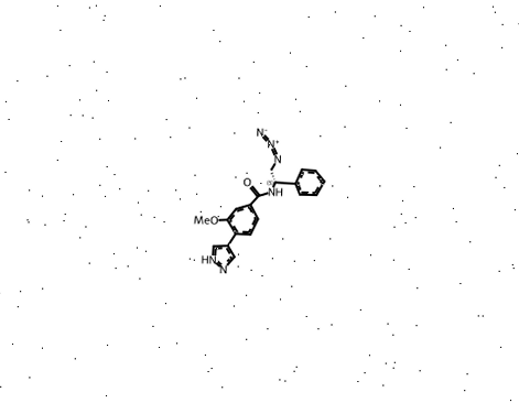 COc1cc(C(=O)N[C@H](CN=[N+]=[N-])c2ccccc2)ccc1-c1cn[nH]c1